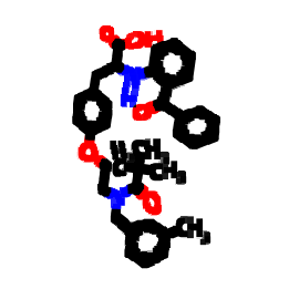 Cc1cccc(CN(CCOc2ccc(CC(Nc3ccccc3C(=O)c3ccccc3)C(=O)O)cc2)C(=O)C(C)(C)C)c1